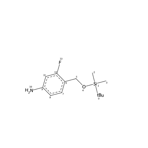 CC(C)(C)[Si](C)(C)OCc1ccc(N)cc1F